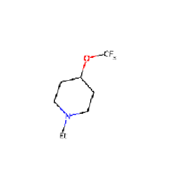 CCN1CCC(OC(F)(F)F)CC1